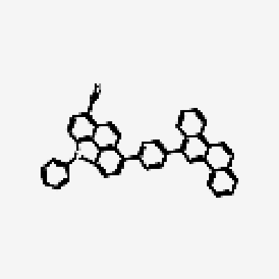 N#Cc1ccc2c3c1ccc1c(-c4ccc(-c5cc6c7ccccc7ccc6c6ccccc56)cc4)ccc(c13)n2-c1ccccc1